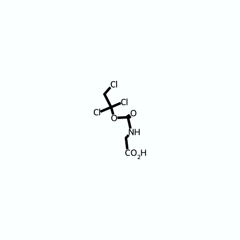 O=C(O)CNC(=O)OC(Cl)(Cl)CCl